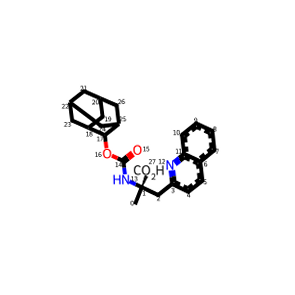 C[C@@](Cc1ccc2ccccc2n1)(NC(=O)OC1C2CC3CC(C2)CC1C3)C(=O)O